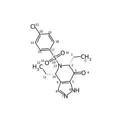 CC[C@@H]1C(=O)c2[nH]ncc2[C@H](CC)N1S(=O)(=O)c1ccc(Cl)cc1